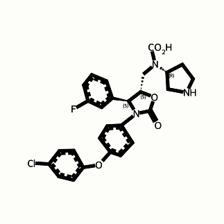 O=C(O)N(C[C@@H]1OC(=O)N(c2ccc(Oc3ccc(Cl)cc3)cc2)[C@H]1c1cccc(F)c1)[C@@H]1CCNC1